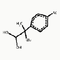 CC(=O)c1ccc(C(C)(C(O)O)C(C)(C)C)cc1